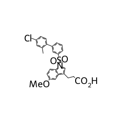 COc1ccc2c(c1)c(CCC(=O)O)cn2S(=O)(=O)c1cccc(-c2ccc(Cl)cc2C)c1